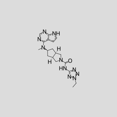 CCn1nnc(NC(=O)N2C[C@H]3C[C@@H](N(C)c4ncnc5[nH]ccc45)C[C@H]3C2)n1